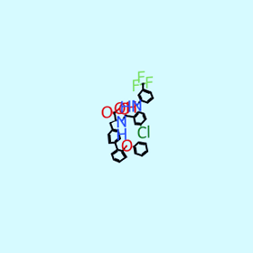 O=C(N[C@@H](Cc1ccc(-c2ccccc2Oc2ccccc2)cc1)C(=O)O)c1cc(Cl)ccc1Nc1cccc(C(F)(F)F)c1